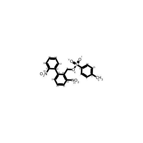 Cc1ccc(S(=O)(=O)OCc2c(-c3ccccc3[N+](=O)[O-])cccc2[N+](=O)[O-])cc1